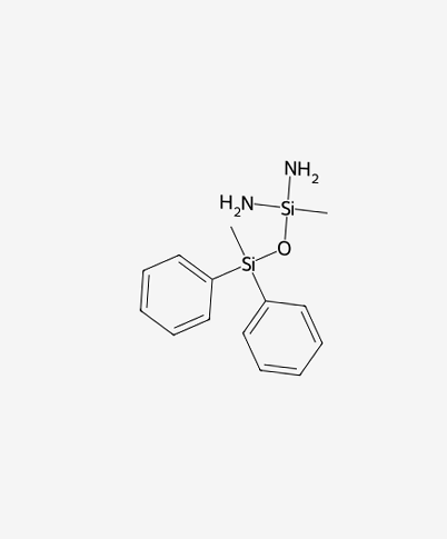 C[Si](N)(N)O[Si](C)(c1ccccc1)c1ccccc1